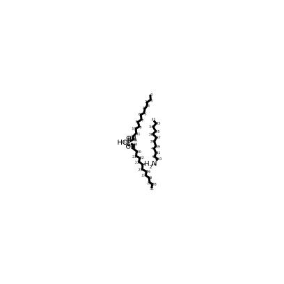 CCCCCCCCCCCCCCP(O)(O)(O)CCCCCCCCCCCCCC.CCCCCCCCCCCCN